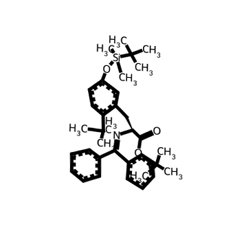 CC(C)(C)OC(=O)[C@H](Cc1cc(O[Si](C)(C)C(C)(C)C)ccc1C(C)(C)C)N=C(c1ccccc1)c1ccccc1